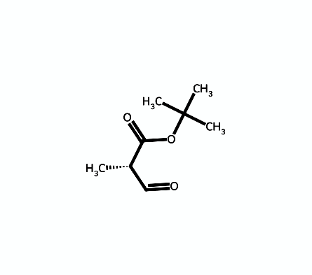 C[C@@H](C=O)C(=O)OC(C)(C)C